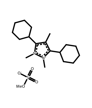 COS(=O)(=O)[O-].Cc1c(C2CCCCC2)n(C)[n+](C)c1C1CCCCC1